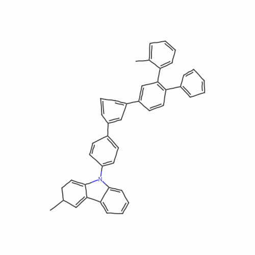 Cc1ccccc1-c1cc(-c2cccc(-c3ccc(-n4c5c(c6ccccc64)=CC(C)CC=5)cc3)c2)ccc1-c1ccccc1